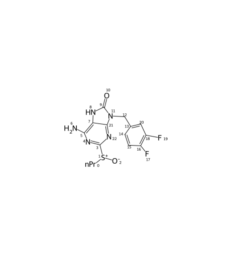 CCC[S+]([O-])c1nc(N)c2[nH]c(=O)n(Cc3ccc(F)c(F)c3)c2n1